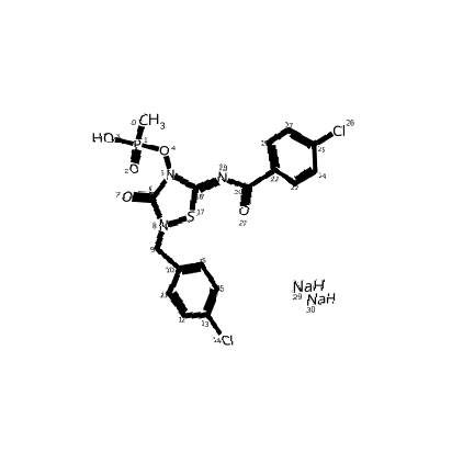 CP(=O)(O)On1c(=O)n(Cc2ccc(Cl)cc2)s/c1=N\C(=O)c1ccc(Cl)cc1.[NaH].[NaH]